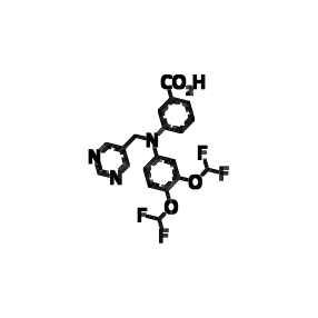 O=C(O)c1cccc(N(Cc2cncnc2)c2ccc(OC(F)F)c(OC(F)F)c2)c1